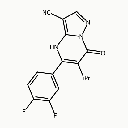 CC(C)c1c(-c2ccc(F)c(F)c2)[nH]c2c(C#N)cnn2c1=O